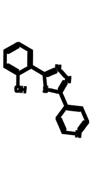 Oc1ccccc1-c1nnc(-c2ccncc2)s1